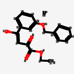 CCOC(=O)C(=O)/C=C(/[O-])c1cccc(OCc2ccccc2)c1.[Li+]